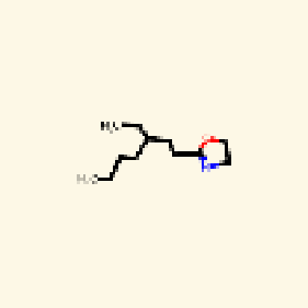 CCCCC(CC)CCC1=NCCO1